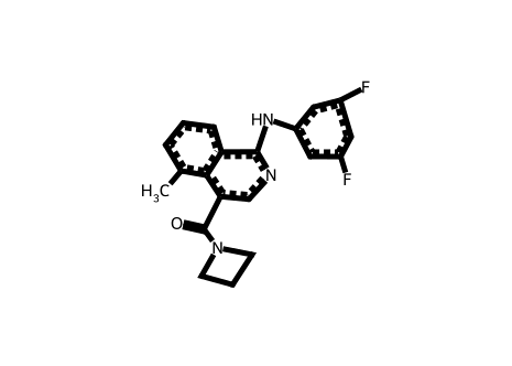 Cc1cccc2c(Nc3cc(F)cc(F)c3)ncc(C(=O)N3CCC3)c12